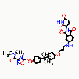 CN(C)C(=O)c1noc(COc2ccc(C(C)(C)c3ccc(OCCCNc4ccc5c(c4)C(=O)N(C4CCC(=O)NC4=O)C5=O)cc3)cc2)n1